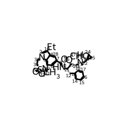 CCc1cn2c3c(cc(C(=O)N[C@@H](Cc4ccccc4)[C@@H](CNCC4CC4)OC=O)cc13)N(C)S(=O)(=O)CC2